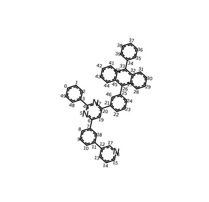 c1ccc(-c2nc(-c3cccc(-c4cccnc4)c3)cc(-c3cccc(-c4c5ccccc5c(-c5ccccc5)c5ccccc45)c3)n2)cc1